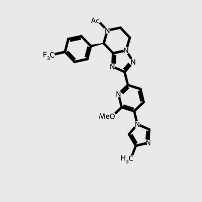 COc1nc(-c2nc3n(n2)CCN(C(C)=O)[C@@H]3c2ccc(C(F)(F)F)cc2)ccc1-n1cnc(C)c1